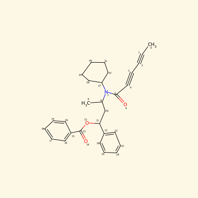 CC#CC#CC(=O)N(C(C)CC(OC(=O)c1ccccc1)c1ccccc1)C1CCCCC1